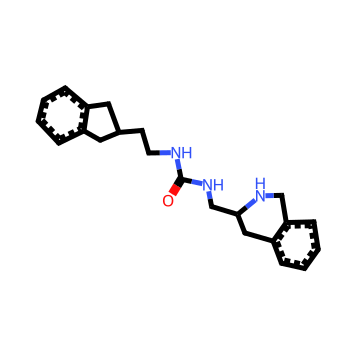 O=C(NCCC1Cc2ccccc2C1)NCC1Cc2ccccc2CN1